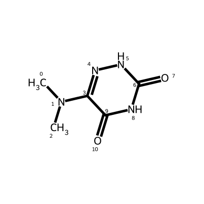 CN(C)c1n[nH]c(=O)[nH]c1=O